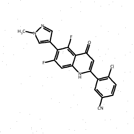 Cn1cc(-c2c(F)cc3[nH]c(-c4cc(C#N)ccc4Cl)cc(=O)c3c2F)cn1